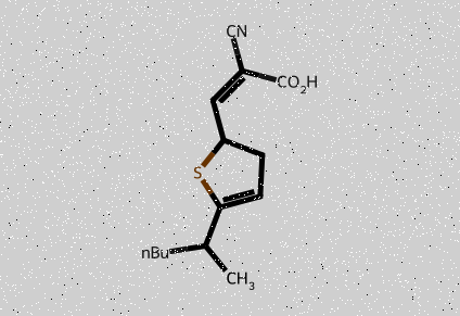 CCCCC(C)C1=CCC(/C=C(/C#N)C(=O)O)S1